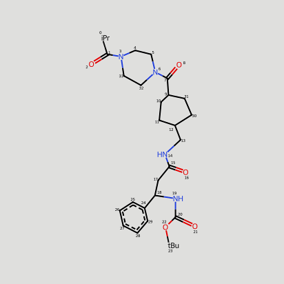 CC(C)C(=O)N1CCN(C(=O)C2CCC(CNC(=O)CC(NC(=O)OC(C)(C)C)c3ccccc3)CC2)CC1